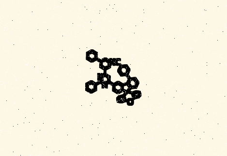 N#Cc1ccc(-c2cccc3c2-c2cc(-c4cc(-c5cccc(-c6ccccc6)c5)nc(-c5ccccc5)n4)ccc2C32c3ccccc3Oc3ccccc32)cc1